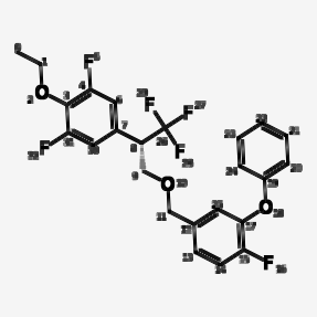 CCOc1c(F)cc([C@@H](COCc2ccc(F)c(Oc3ccccc3)c2)C(F)(F)F)cc1F